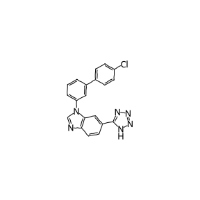 Clc1ccc(-c2cccc(-n3cnc4ccc(-c5nnn[nH]5)cc43)c2)cc1